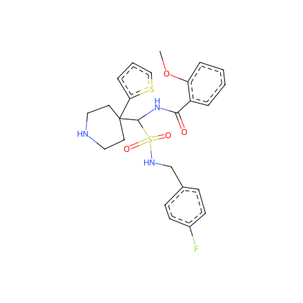 COc1ccccc1C(=O)NC(C1(c2cccs2)CCNCC1)S(=O)(=O)NCc1ccc(F)cc1